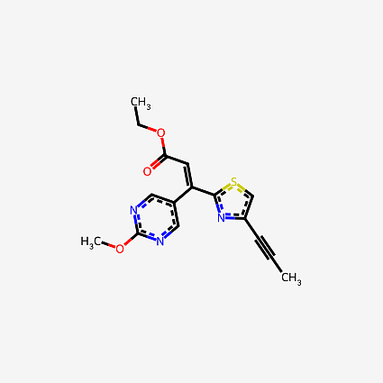 CC#Cc1csc(/C(=C/C(=O)OCC)c2cnc(OC)nc2)n1